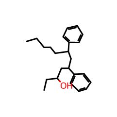 CCCCCC(CC(CC(O)CC)c1ccccc1)c1ccccc1